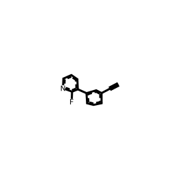 C#Cc1cccc(-c2cccnc2F)c1